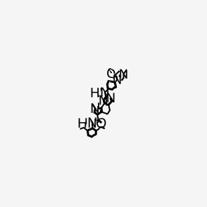 CCc1cccc(CC)c1NC(=O)c1cn(C)c2c1CCc1cnc(Nc3ccc(N4CCN(C)CC4OC)cc3)nc1-2